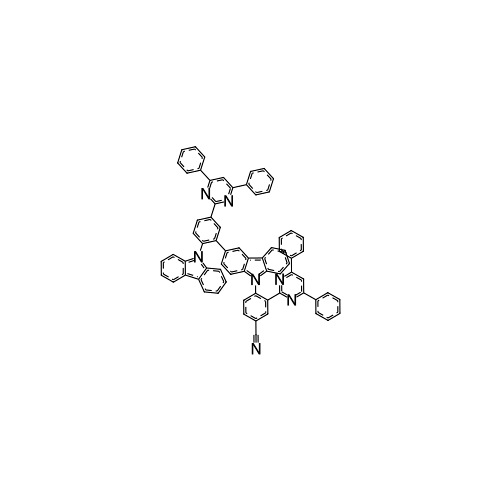 N#Cc1ccc(-n2c3ccccc3c3cc(-c4cc(-c5nc(-c6ccccc6)cc(-c6ccccc6)n5)ccc4-n4c5ccccc5c5ccccc54)ccc32)c(-c2nc(-c3ccccc3)cc(-c3ccccc3)n2)c1